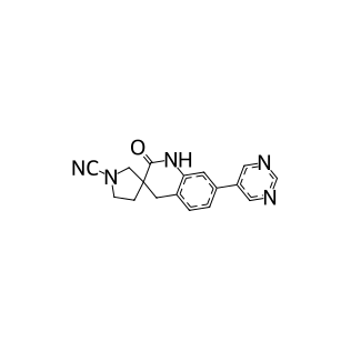 N#CN1CCC2(Cc3ccc(-c4cncnc4)cc3NC2=O)C1